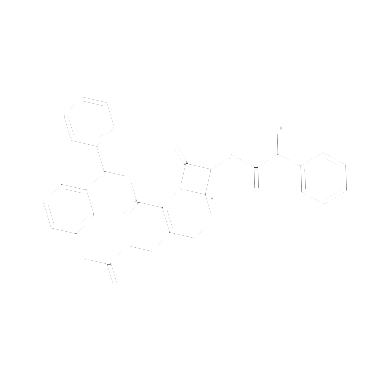 NC(=O)OCC1=C(C(=O)OC(c2ccccc2)c2ccccc2)N2C(=O)C(NC(=O)C(O)c3ccccc3)[C@H]2SC1